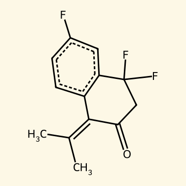 CC(C)=C1C(=O)CC(F)(F)c2cc(F)ccc21